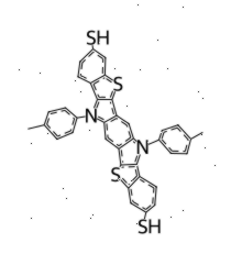 Cc1ccc(-n2c3cc4c5sc6cc(S)ccc6c5n(-c5ccc(C)cc5)c4cc3c3sc4cc(S)ccc4c32)cc1